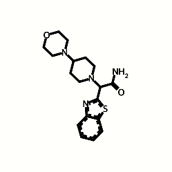 NC(=O)C(c1nc2ccccc2s1)N1CCC(N2CCOCC2)CC1